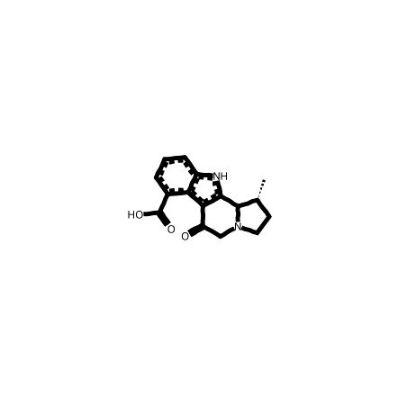 C[C@@H]1CCN2CC(=O)c3c([nH]c4cccc(C(=O)O)c34)C12